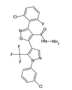 NNC(=O)c1c(-c2c(F)cccc2Cl)noc1-c1cnn(-c2cccc(Cl)c2)c1C(F)(F)F